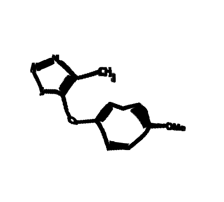 COc1ccc(Oc2snnc2C)cc1